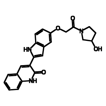 O=C(COc1ccc2[nH]c(-c3cc4ccccc4[nH]c3=O)cc2c1)N1CCC(O)C1